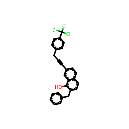 Oc1c(Cc2ccccc2)ccc2ccc(C#CCc3ccc(C(Cl)(Cl)Cl)cc3)cc12